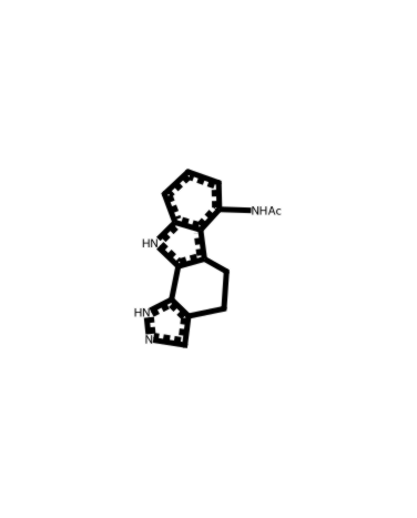 CC(=O)Nc1cccc2[nH]c3c(c12)CCc1cn[nH]c1-3